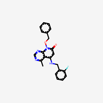 Cc1ncnc2c1c(NCc1ccccc1F)cc(=O)n2OCc1ccccc1